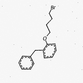 BrCCCCOc1ccccc1Cc1ccccc1